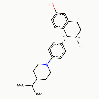 CC[C@H]1CCc2cc(O)ccc2[C@H]1c1ccc(N2CCC(C(OC)OC)CC2)cc1